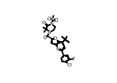 CC(C)(C)c1cc(-c2ccc(Cl)c(F)c2)nc2cc(C(=O)N3CCN(S(C)(=O)=O)C(=O)C3(C)C)oc12